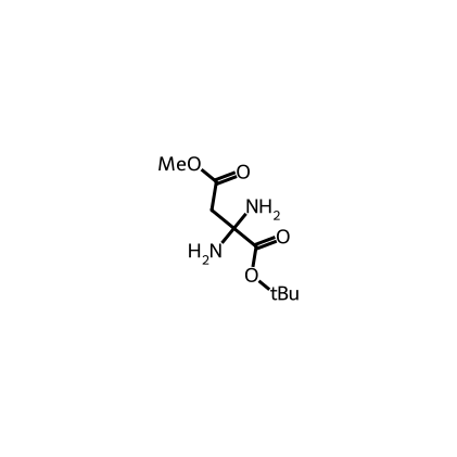 COC(=O)CC(N)(N)C(=O)OC(C)(C)C